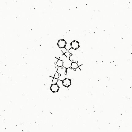 CC1(C)O[C@H](CO[Si](c2ccccc2)(c2ccccc2)C(C)(C)C)[C@H](C(=O)[C@@H]2OC(C)(C)O[C@@H]2CO[Si](c2ccccc2)(c2ccccc2)C(C)(C)C)O1